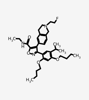 CCCCOc1cc(OCCCC)c(C(C)C)cc1-c1noc(C(=O)NCC)c1-c1ccc2c(c1)CCN(CCF)C2